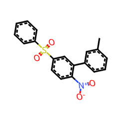 Cc1cccc(-c2cc(S(=O)(=O)c3ccccc3)ccc2[N+](=O)[O-])c1